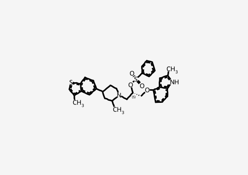 Cc1cc2c(OC[C@H](CN3CCC(c4ccc5scc(C)c5c4)CC3C)OS(=O)(=O)c3ccccc3)cccc2[nH]1